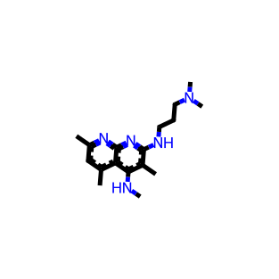 CNc1c(C)c(NCCCN(C)C)nc2nc(C)cc(C)c12